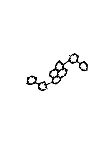 c1ccc(-c2ccnc(-c3ccc4ccc5c(-c6cc(-c7ccccc7)ccn6)ccc6ccc3c4c65)c2)cc1